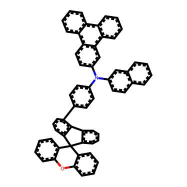 c1ccc2c(c1)Oc1ccccc1C21c2ccccc2-c2c(-c3ccc(N(c4ccc5ccccc5c4)c4ccc5c6ccccc6c6ccccc6c5c4)cc3)cccc21